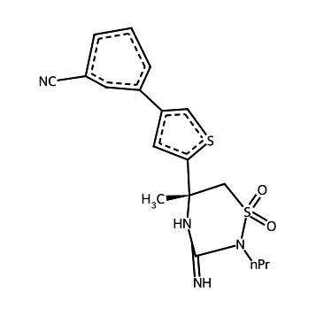 CCCN1C(=N)N[C@](C)(c2cc(-c3cccc(C#N)c3)cs2)CS1(=O)=O